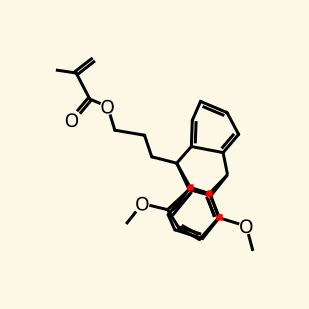 C=C(C)C(=O)OCCCC12c3ccccc3C(c3ccccc31)c1c(OC)ccc(OC)c12